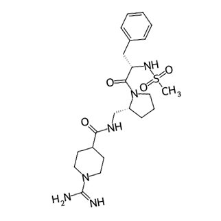 CS(=O)(=O)N[C@@H](Cc1ccccc1)C(=O)N1CCC[C@@H]1CNC(=O)C1CCN(C(=N)N)CC1